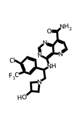 NC(=O)c1ccnc2c(NC(CN3CC(O)C3)c3ccc(Cl)c(C(F)(F)F)c3)ncnc12